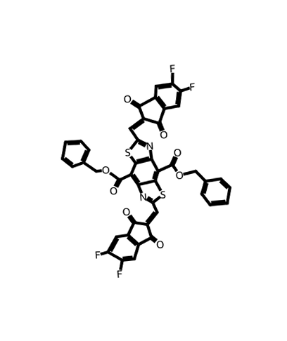 O=C1C(=Cc2nc3c(C(=O)OCc4ccccc4)c4sc(C=C5C(=O)c6cc(F)c(F)cc6C5=O)nc4c(C(=O)OCc4ccccc4)c3s2)C(=O)c2cc(F)c(F)cc21